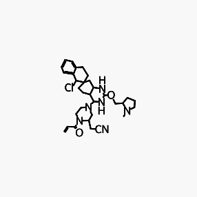 C=CC(=O)N1CCN(C2NC(OCC3CCCN3C)NC3CC4(CCc5ccccc5C4Cl)CCC32)CC1CC#N